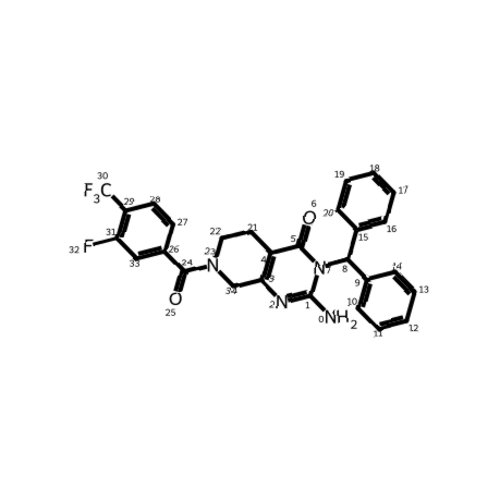 Nc1nc2c(c(=O)n1C(c1ccccc1)c1ccccc1)CCN(C(=O)c1ccc(C(F)(F)F)c(F)c1)C2